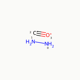 NN.[C-]#[O+]